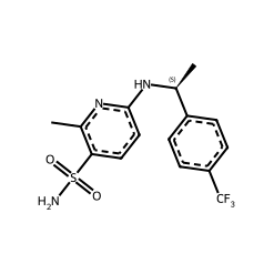 Cc1nc(N[C@@H](C)c2ccc(C(F)(F)F)cc2)ccc1S(N)(=O)=O